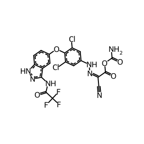 N#CC(=NNc1cc(Cl)c(Oc2ccc3[nH]nc(NC(=O)C(F)(F)F)c3c2)c(Cl)c1)C(=O)OC(N)=O